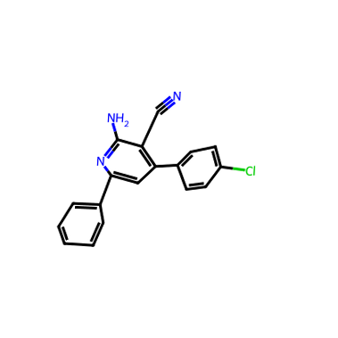 N#Cc1c(-c2ccc(Cl)cc2)cc(-c2ccccc2)nc1N